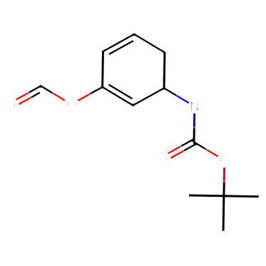 CC(C)(C)OC(=O)NC1C=C(OC=O)C=CC1